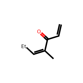 C=CC(=O)/C(C)=C\CC